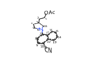 CC(=O)OCCC1CCN(c2ccc(C#N)c3ccccc23)C1